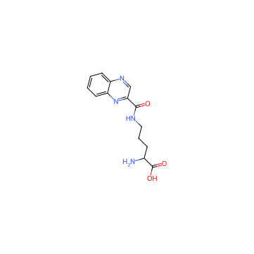 NC(CCCNC(=O)c1cnc2ccccc2n1)C(=O)O